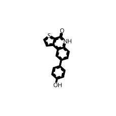 O=c1[nH]c2ccc(-c3ccc(O)cc3)cc2c2ccsc12